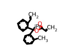 C=CC(=O)OC(c1ccccc1C)(c1ccccc1C=C)C(C)C